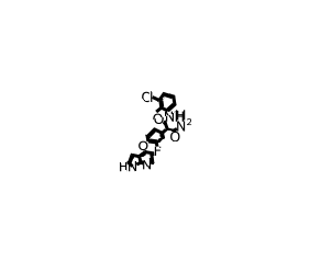 Cc1c(Cl)cccc1NC(=O)C(C(N)=O)c1ccc(Oc2ccnc3[nH]ccc23)c(F)c1